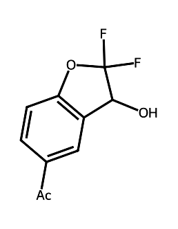 CC(=O)c1ccc2c(c1)C(O)C(F)(F)O2